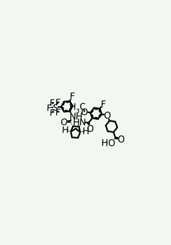 COc1cc(F)c(OC2CCC(C(=O)O)CC2)cc1C(=O)N[C@@H]1[C@H]2CC[C@H](C2)[C@@H]1C(=O)Nc1cc(F)cc(S(F)(F)(F)(F)F)c1